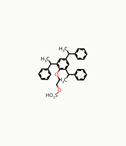 CC(c1ccccc1)c1cc(C(C)c2ccccc2)c(OCCOS(=O)(=O)O)c(C(C)c2ccccc2)c1